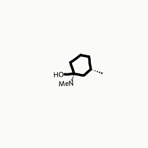 CN[C@]1(O)CCC[C@H](C)C1